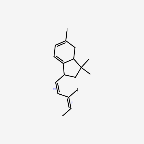 C/C=C(I)\C=C/C1CC(C)(C)C2CC(I)=CC=C12